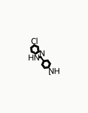 CNc1ccc(-c2nc3cc(Cl)ccc3[nH]2)cc1